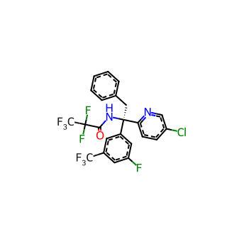 O=C(N[C@](Cc1ccccc1)(c1cc(F)cc(C(F)(F)F)c1)c1ccc(Cl)cn1)C(F)(F)C(F)(F)F